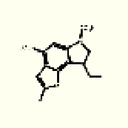 CC(=O)Oc1cc2c(c3sc(C)cc13)C(CCl)CN2C(=O)O